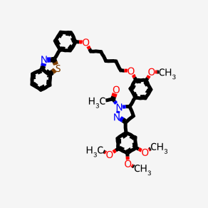 COc1ccc(C2CC(c3cc(OC)c(OC)c(OC)c3)=NN2C(C)=O)cc1OCCCCCOc1cccc(-c2nc3ccccc3s2)c1